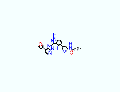 CCCC(=O)Nc1cncc(-c2ccc3[nH]nc(-c4nc5c(-c6ccoc6)ccnc5[nH]4)c3c2)c1